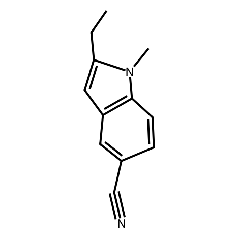 CCc1cc2cc(C#N)ccc2n1C